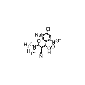 CN(C)C(=O)C(C#N)=C(O)c1ccc(Cl)cc1[N+](=O)[O-].[NaH]